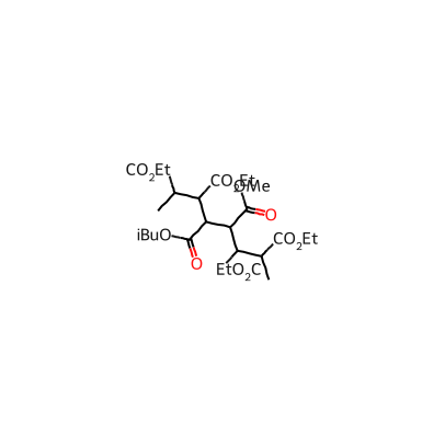 CCOC(=O)C(C)C(C(=O)OCC)C(C(=O)OC)C(C(=O)OCC(C)C)C(C(=O)OCC)C(C)C(=O)OCC